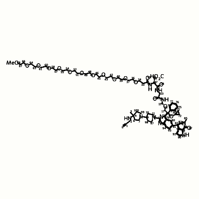 C#CCNC1(C)CCN(C2CCN(c3nc([C@@](COCNC(=O)CNC(=O)[C@H](CC(=O)O)NC(=O)CCOCCOCCOCCOCCOCCOCCOCCOCCOCCOCCOCCOC)(OC4CC4)c4ccccc4)c4cc(-c5cn(C)c(=O)c6[nH]ccc56)ccc4n3)CC2)CC1